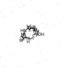 CC(C)(O)C1CCCNc2nc(ncc2Br)Nc2csc(c2)S(=O)(=O)N1